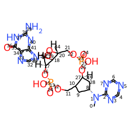 CN(c1ncncn1)[C@@H]1CC2COP(=O)(O)O[C@@H]3[C@H](O)[C@@H](COP(=O)(O)O[C@H]2C1)O[C@H]3n1cnc2c(=O)[nH]c(N)nc21